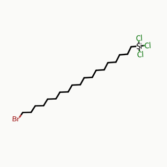 Cl[Si](Cl)(Cl)CCCCCCCCCCCCCCCCCCCBr